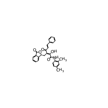 Cc1ccc(NC(=O)/C(O)=C(\C[C@@H]2OC(=O)c3ccccc32)C(=O)/C=C/c2ccccc2)c(C)c1